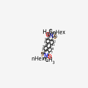 CCCCCC[C@H](C)N1C(=O)c2ccc3c4ccc5c6c(ccc(c7ccc(c2c37)C1=S)c64)C(=O)N([C@@H](C)CCCCCC)C5=S